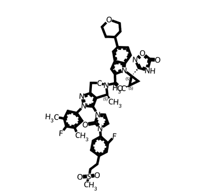 Cc1cc(-n2nc3c(c2-n2ccn(-c4ccc(CCS(C)(=O)=O)cc4F)c2=O)[C@H](C)N(C(=O)c2cc4cc(C5CCOCC5)ccc4n2[C@@]2(c4noc(=O)[nH]4)C[C@@H]2C)CC3)cc(C)c1F